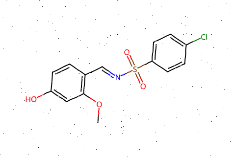 COc1cc(O)ccc1C=NS(=O)(=O)c1ccc(Cl)cc1